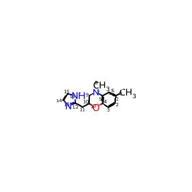 Cc1ccc2c(c1)N(C)CC(CC1=NCCN1)O2